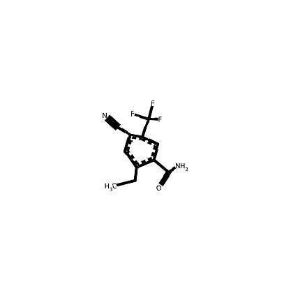 CCc1cc(C#N)c(C(F)(F)F)cc1C(N)=O